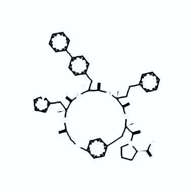 O=C1COc2ccc(cc2)C[C@@H](C(=O)N2CCC[C@@H]2C(=O)O)NC(=O)[C@@H](CCc2ccccc2)NC(=O)[C@H](Cc2ccc(-c3ccccc3)cc2)NC(=O)[C@@H](Cc2cccs2)N1